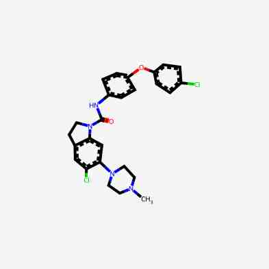 CN1CCN(c2cc3c(cc2Cl)CCN3C(=O)Nc2ccc(Oc3ccc(Cl)cc3)cc2)CC1